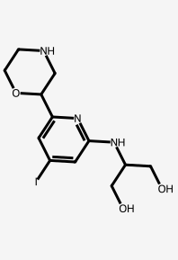 OCC(CO)Nc1cc(I)cc(C2CNCCO2)n1